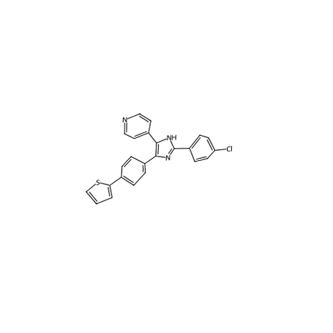 Clc1ccc(-c2nc(-c3ccc(-c4cccs4)cc3)c(-c3ccncc3)[nH]2)cc1